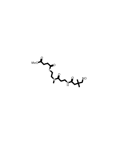 COC(=O)CCC(=O)SCCN(C)C(=O)CCNC(=O)CC(C)(C)CN=O